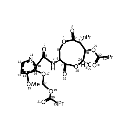 CCC[C@H]1C(=O)OC[C@H](NC(=O)c2nccc(OC)c2OCOC(=O)C(C)C)C(=O)O[C@@H](C)[C@@H]1OC(=O)C(C)C